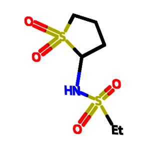 CCS(=O)(=O)NC1CCCS1(=O)=O